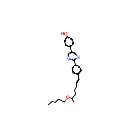 CCCCCOC(C)CCCC=Cc1ccc(-c2ncc(-c3ccc(O)cc3)cn2)cc1